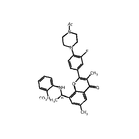 CC(=O)N1CCN(c2ccc(-c3oc4c([C@@H](C)Nc5ccccc5C(=O)O)cc(C)cc4c(=O)c3C)cc2F)CC1